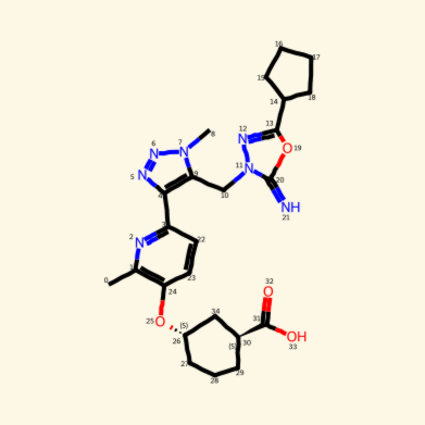 Cc1nc(-c2nnn(C)c2Cn2nc(C3CCCC3)oc2=N)ccc1O[C@H]1CCC[C@H](C(=O)O)C1